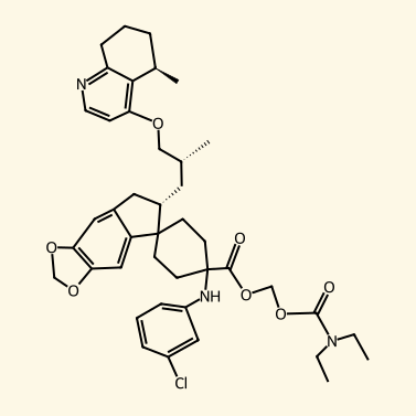 CCN(CC)C(=O)OCOC(=O)C1(Nc2cccc(Cl)c2)CCC2(CC1)c1cc3c(cc1C[C@@H]2C[C@@H](C)COc1ccnc2c1[C@H](C)CCC2)OCO3